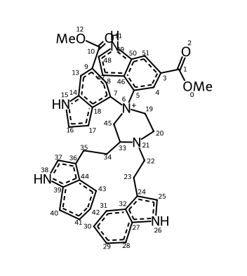 COC(=O)c1cc([N+]2(c3cc(C(=O)OC)cc4[nH]ccc34)CCN(CCc3c[nH]c4ccccc34)C(CCc3c[nH]c4ccccc34)C2)c2cc[nH]c2c1